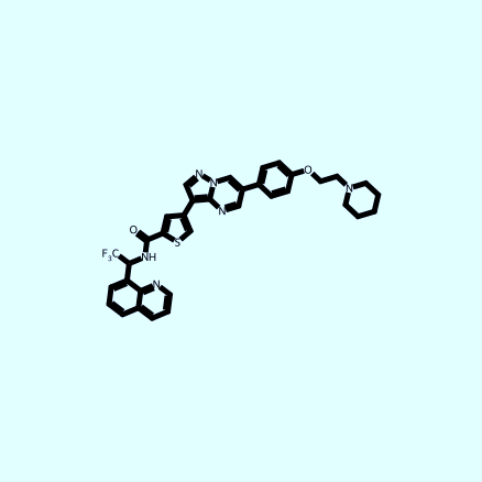 O=C(NC(c1cccc2cccnc12)C(F)(F)F)c1cc(-c2cnn3cc(-c4ccc(OCCN5CCCCC5)cc4)cnc23)cs1